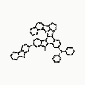 c1ccc(N(c2ccccc2)c2ccc3c(c2)c2[nH]c4cc(-c5ccc6c(c5)oc5ccccc56)ccc4c2c2c3c3cccc4c5ccc6ccccc6c5n2c43)cc1